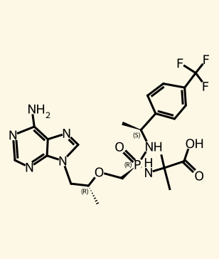 C[C@H](Cn1cnc2c(N)ncnc21)OC[P@@](=O)(N[C@@H](C)c1ccc(C(F)(F)F)cc1)NC(C)(C)C(=O)O